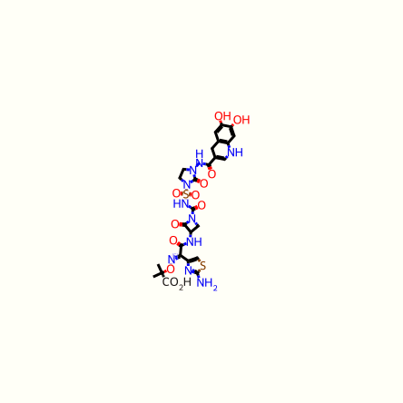 CC(C)(O/N=C(/C(=O)NC1CN(C(=O)NS(=O)(=O)N2CCN(NC(=O)C3=CNc4cc(O)c(O)cc4C3)C2=O)C1=O)c1csc(N)n1)C(=O)O